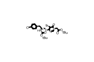 CC(C)(C)OC(=O)Cn1cnc(OC[C@@H](Cc2ccc(Cl)cc2)NC(=O)OC(C)(C)C)c(Br)c1=O